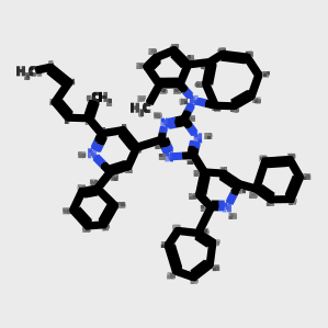 C=C(/C=C\C=C/C)c1cc(-c2nc(-c3cc(C4=CC=CC=CC4)nc(-c4ccccc4)c3)nc(N3c4c(C)cccc4C4=CC3/C=C\C/C=C\4)n2)cc(-c2ccccc2)n1